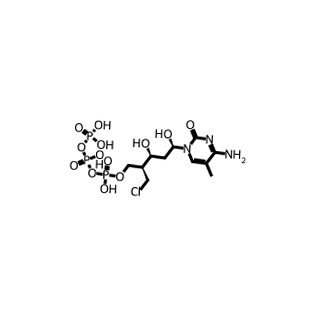 Cc1cn([C@H](O)C[C@H](O)[C@@H](CCl)COP(=O)(O)OP(=O)(O)OP(=O)(O)O)c(=O)nc1N